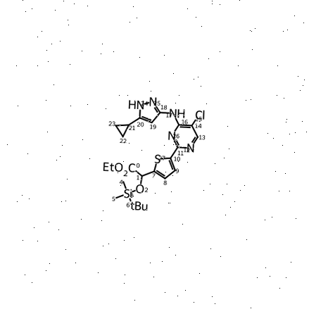 CCOC(=O)C(O[Si](C)(C)C(C)(C)C)c1ccc(-c2ncc(Cl)c(Nc3cc(C4CC4)[nH]n3)n2)s1